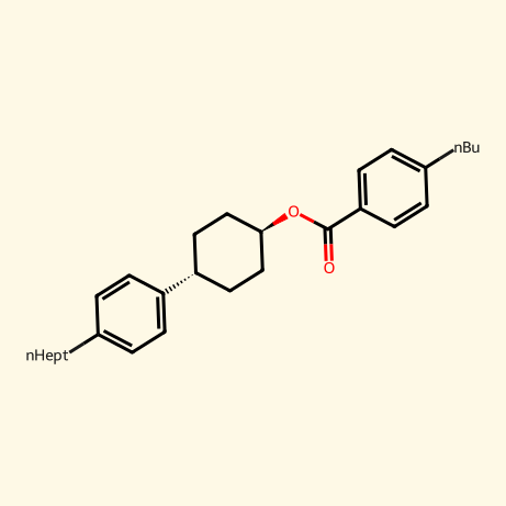 CCCCCCCc1ccc([C@H]2CC[C@H](OC(=O)c3ccc(CCCC)cc3)CC2)cc1